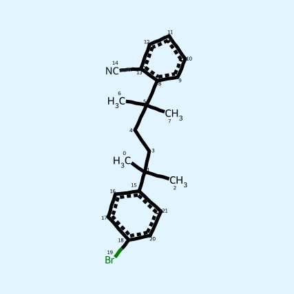 CC(C)(CCC(C)(C)c1ccccc1C#N)c1ccc(Br)cc1